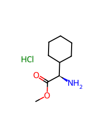 COC(=O)[C@H](N)C1CCCCC1.Cl